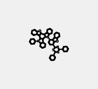 c1ccc(-c2nc(-c3ccccc3)nc(-c3ccc(-n4c5ccccc5c5c6oc7ccccc7c6c6c(c7ccccc7n6-c6ccccc6)c54)c4c3oc3ccccc34)n2)cc1